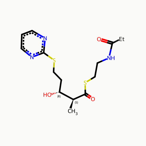 CCC(=O)NCCSC(=O)[C@@H](C)[C@H](O)CCSc1ncccn1